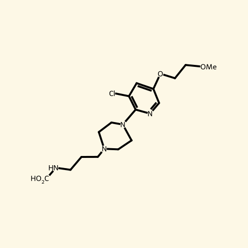 COCCOc1cnc(N2CCN(CCCNC(=O)O)CC2)c(Cl)c1